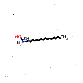 CCCCCCCCCCCCCCCCCC[N+](C)(C)CCO